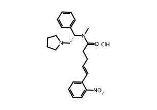 CN(C(=O)CC/C=C/c1ccccc1[N+](=O)[O-])[C@H](CN1CCCC1)c1ccccc1.Cl